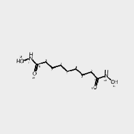 O=C(CCCCCCCC(=O)NO)NO